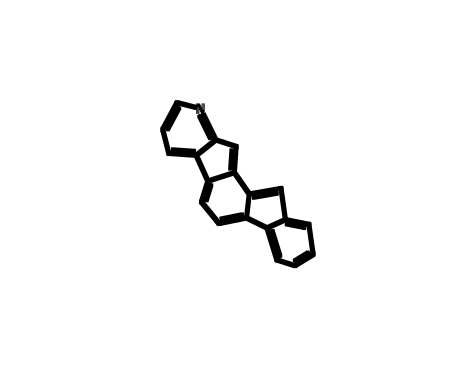 C1=c2c(ccc3c2=Cc2ncccc2-3)-c2ccccc21